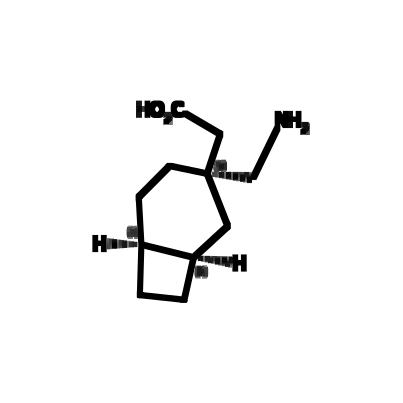 NC[C@@]1(CC(=O)O)CC[C@@H]2CC[C@@H]2C1